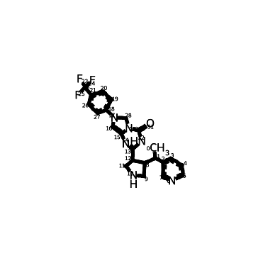 CC(c1cccnc1)C1CNCC1C1=NC2=CN(c3ccc(C(F)(F)F)cc3)CN2C(=O)N1